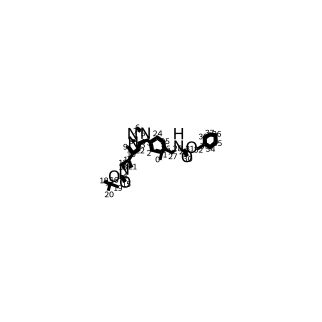 Cc1cc(-c2ncnn3cc(C4CN(C(=O)OC(C)(C)C)C4)cc23)ccc1CNC(=O)OCc1ccccc1